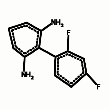 Nc1cccc(N)c1-c1ccc(F)cc1F